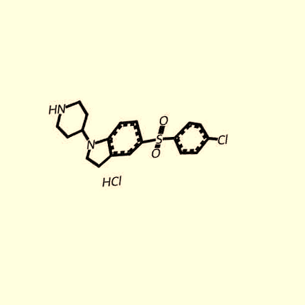 Cl.O=S(=O)(c1ccc(Cl)cc1)c1ccc2c(c1)CCN2C1CCNCC1